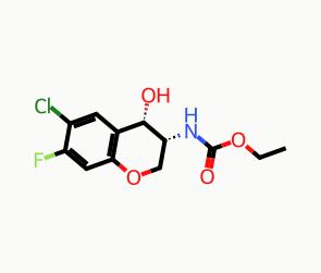 CCOC(=O)N[C@@H]1COc2cc(F)c(Cl)cc2[C@@H]1O